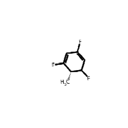 C[C@@H]1C(F)=CC(F)=CC1F